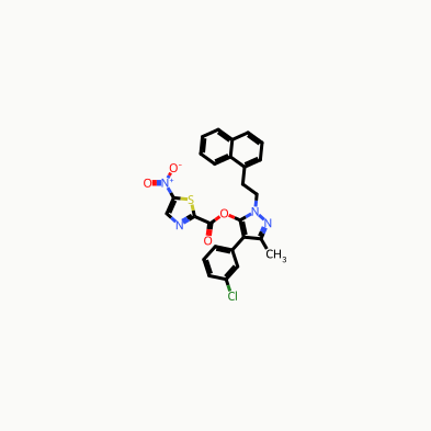 Cc1nn(CCc2cccc3ccccc23)c(OC(=O)c2ncc([N+](=O)[O-])s2)c1-c1cccc(Cl)c1